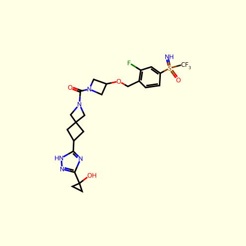 N=S(=O)(c1ccc(COC2CN(C(=O)N3CC4(CC(c5nc(C6(O)CC6)n[nH]5)C4)C3)C2)c(F)c1)C(F)(F)F